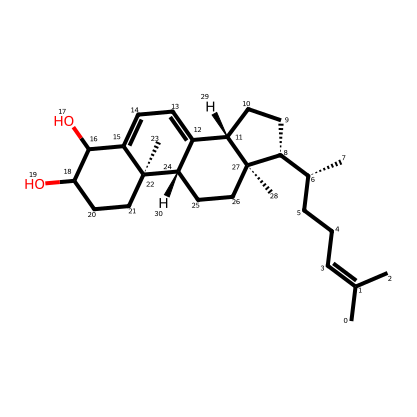 CC(C)=CCC[C@@H](C)[C@H]1CC[C@H]2C3=CC=C4C(O)C(O)CC[C@]4(C)[C@H]3CC[C@]12C